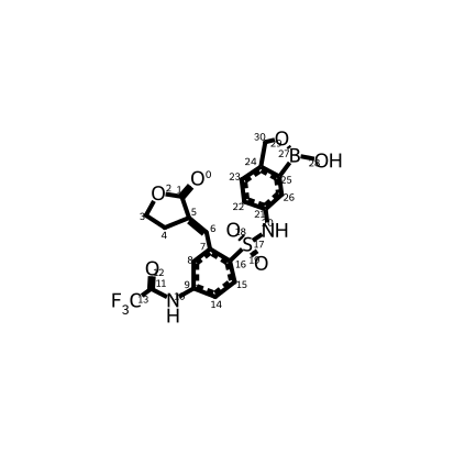 O=C1OCCC1=Cc1cc(NC(=O)C(F)(F)F)ccc1S(=O)(=O)Nc1ccc2c(c1)B(O)OC2